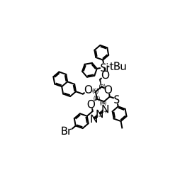 Cc1ccc(SC2O[C@H](CO[Si](c3ccccc3)(c3ccccc3)C(C)(C)C)[C@@H](OCc3ccc4ccccc4c3)[C@H](OCc3ccc(Br)cc3)[C@H]2N=[N+]=[N-])cc1